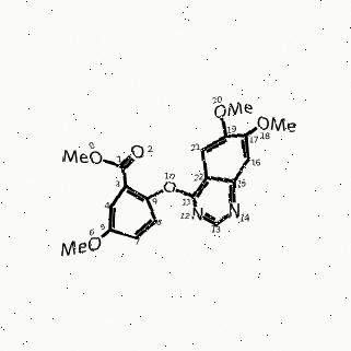 COC(=O)c1cc(OC)ccc1Oc1ncnc2cc(OC)c(OC)cc12